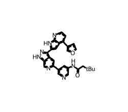 CC(C)(C)CC(=O)Nc1cncc(-c2cc3c(-c4cc5c(-c6ccoc6)ccnc5[nH]4)n[nH]c3cn2)c1